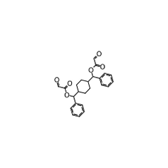 O=CC(=O)OC(c1ccccc1)C1CCC(C(OC(=O)C=O)c2ccccc2)CC1